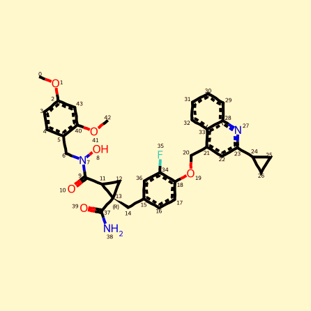 COc1ccc(CN(O)C(=O)C2C[C@]2(Cc2ccc(OCc3cc(C4CC4)nc4ccccc34)c(F)c2)C(N)=O)c(OC)c1